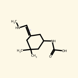 CN/C=C1/CC(NC(=O)O)CC(C)(C)C1